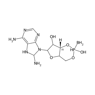 B[PH]1(O)OCC2OC(N3c4ncnc(N)c4NC3N)C(O)[C@@H]2O1